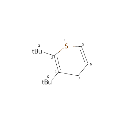 CC(C)(C)C1=C(C(C)(C)C)SC=CC1